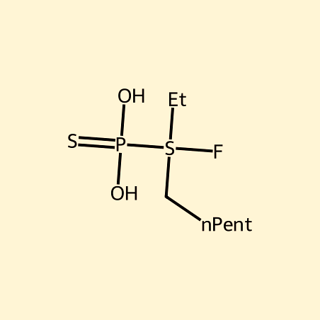 CCCCCCS(F)(CC)P(O)(O)=S